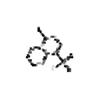 O=S(=O)(Cl)c1ccc(I)c2ccccc12